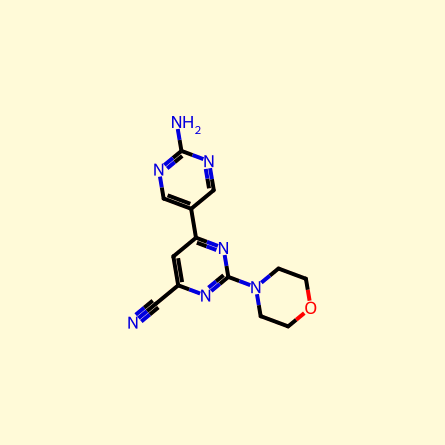 N#Cc1cc(-c2cnc(N)nc2)nc(N2CCOCC2)n1